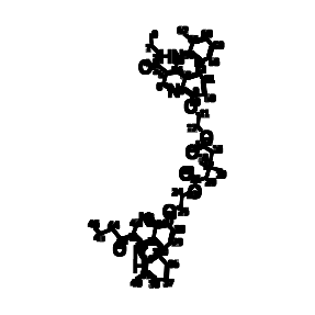 CCCC(=O)c1cnc2c(OCCOC(=O)CC(C)(C)CC(=O)OCCOc3cccc4c(Nc5ccccc5C)c(C(=O)CCC)cnc34)cccc2c1Nc1ccccc1C